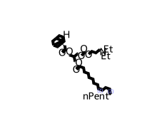 CCCCC/C=C\C/C=C\CCCCCCCC(=O)OCC(COC(=O)C[C@]12CC3CC(C[C@@H](C3)C1)C2)COC(=O)OCCCN(CC)CC